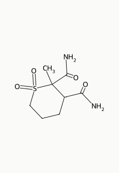 CC1(C(N)=O)[C](C(N)=O)CCCS1(=O)=O